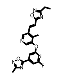 CCc1noc(/C=C/c2cncc(Oc3cc(-c4nc(C)no4)cc(F)n3)c2C)n1